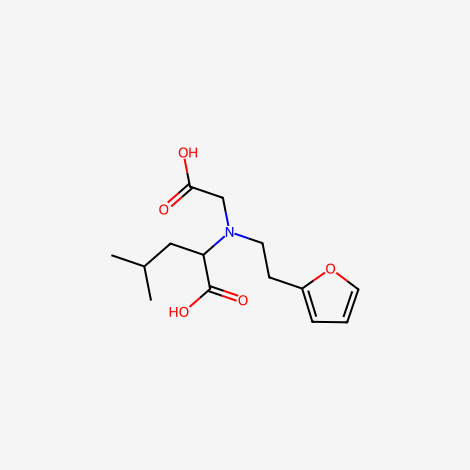 CC(C)CC(C(=O)O)N(CCc1ccco1)CC(=O)O